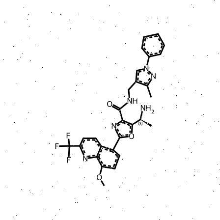 COc1ccc(-c2nc(C(=O)NCc3cn(-c4ccccc4)nc3C)c([C@H](C)N)o2)c2ccc(C(F)(F)F)nc12